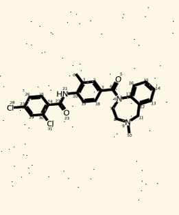 Cc1cc(C(=O)N2CCN(C)Cc3ccccc32)ccc1NC(=O)c1ccc(Cl)cc1Cl